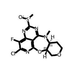 CN1c2nc([S+](C)[O-])nc3c(F)c(Cl)nc(c23)O[C@H]2COCC[C@@H]21